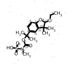 CCOC1Oc2ccc(C(C)(C)OC(=O)N(C)S(=O)(=O)O)cc2C1(C)C